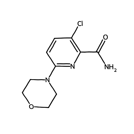 NC(=O)c1nc(N2CCOCC2)ccc1Cl